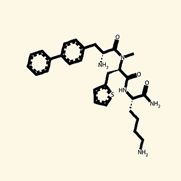 CN(C(=O)[C@H](N)Cc1ccc(-c2ccccc2)cc1)[C@H](Cc1cccs1)C(=O)N[C@@H](CCCCN)C(N)=O